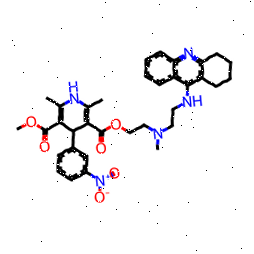 COC(=O)C1=C(C)NC(C)=C(C(=O)OCCN(C)CCNc2c3c(nc4ccccc24)CCCC3)C1c1cccc([N+](=O)[O-])c1